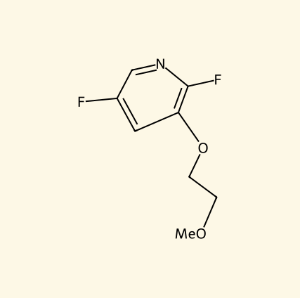 COCCOc1cc(F)cnc1F